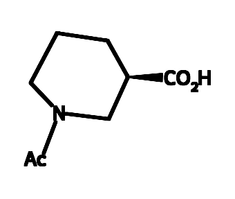 CC(=O)N1CCC[C@@H](C(=O)O)C1